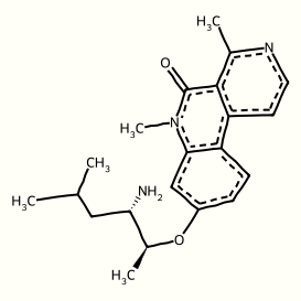 Cc1nccc2c1c(=O)n(C)c1cc(O[C@@H](C)[C@@H](N)CC(C)C)ccc21